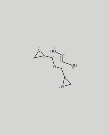 C(OCC1CO1)C1CO1.O/C=C/O